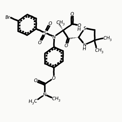 CN(C)C(=O)Oc1ccc(N([C@@](C)(C(=O)O)C(=O)[C@H]2NC(C)(C)CS2)S(=O)(=O)c2ccc(Br)cc2)cc1